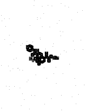 Cc1c(C(=O)Nc2ccncc2)ccc2c1S(=O)(=O)CC[C@@H]2NC(=O)OC(C)(C)C